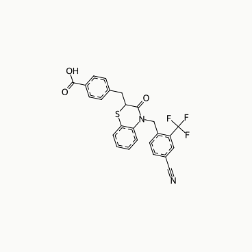 N#Cc1ccc(CN2C(=O)C(Cc3ccc(C(=O)O)cc3)Sc3ccccc32)c(C(F)(F)F)c1